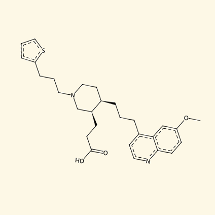 COc1ccc2nccc(CCC[C@@H]3CCN(CCCc4cccs4)C[C@@H]3CCC(=O)O)c2c1